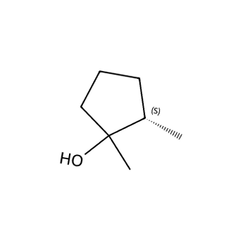 C[C@H]1CCCC1(C)O